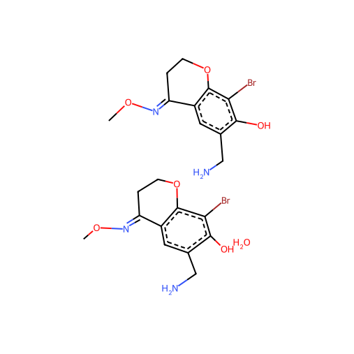 CON=C1CCOc2c1cc(CN)c(O)c2Br.CON=C1CCOc2c1cc(CN)c(O)c2Br.O